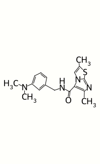 Cc1cn2c(C(=O)NCc3cccc(N(C)C)c3)c(C)nc2s1